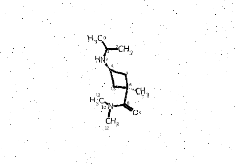 CC(C)N[C@H]1C[C@@](C)(C(=O)N(C)C)C1